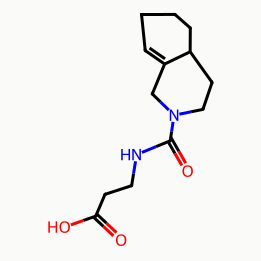 O=C(O)CCNC(=O)N1CCC2CCCC=C2C1